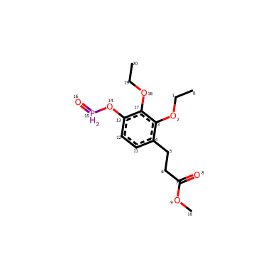 CCOc1c(CCC(=O)OC)ccc(O[PH2]=O)c1OCC